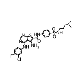 CN(C)CCCNS(=O)(=O)c1ccc(NC(=O)c2sc3ncnc(Nc4ccc(F)c(Cl)c4)c3c2N)cc1